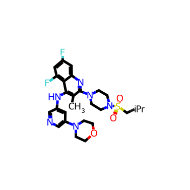 Cc1c(N2CCN(S(=O)(=O)CC(C)C)CC2)nc2cc(F)cc(F)c2c1Nc1cncc(N2CCOCC2)c1